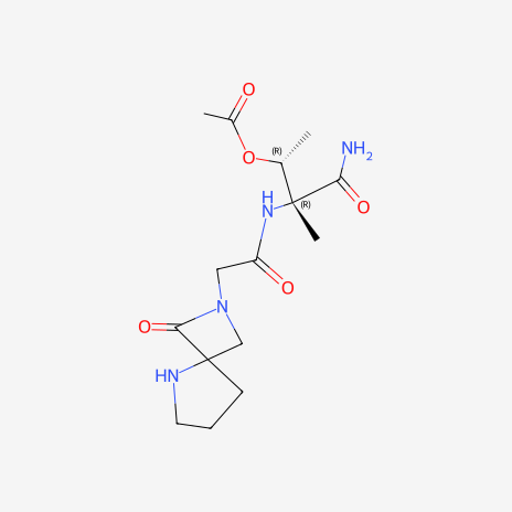 CC(=O)O[C@H](C)[C@@](C)(NC(=O)CN1CC2(CCCN2)C1=O)C(N)=O